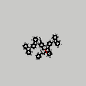 N#Cc1cc(-n2c3ccccc3c3cc(-n4c5ccccc5c5ccccc54)ccc32)c(-c2nc(-c3ccccc3)nc(-c3ccccc3)n2)cc1-n1c2ccccc2c2cc(-n3c4ccccc4c4ccccc43)ccc21